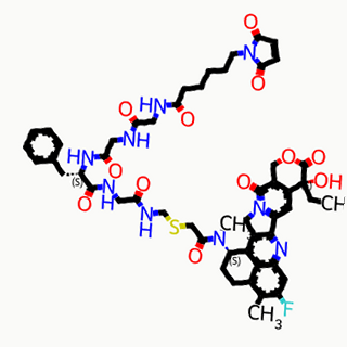 CC[C@@]1(O)C(=O)OCc2c1cc1n(c2=O)Cc2c-1nc1cc(F)c(C)c3c1c2[C@@H](N(C)C(=O)CSCNC(=O)CNC(=O)[C@H](Cc1ccccc1)NC(=O)CNC(=O)CNC(=O)CCCCCN1C(=O)C=CC1=O)CC3